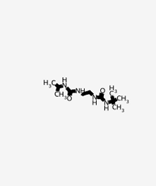 CC(C)NC(=O)NCCNC(=O)NC(C)(C)C